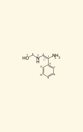 N/C(=C/NCO)c1ccccc1